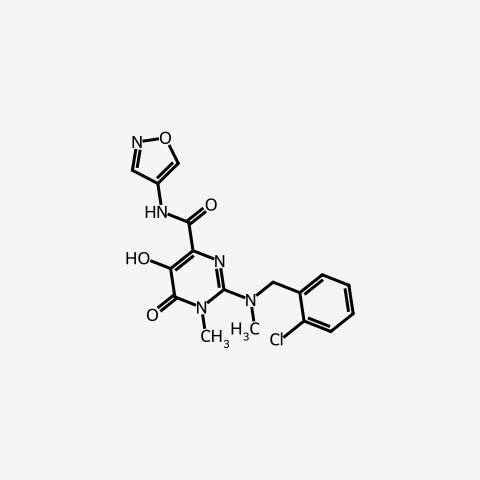 CN(Cc1ccccc1Cl)c1nc(C(=O)Nc2cnoc2)c(O)c(=O)n1C